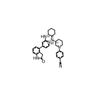 N#Cc1ccc(N2CCC[C@H](N[C@@H]3CCCC[C@H]3Nc3cc(-c4cccc5c4CC(=O)N5)ccn3)C2)cc1